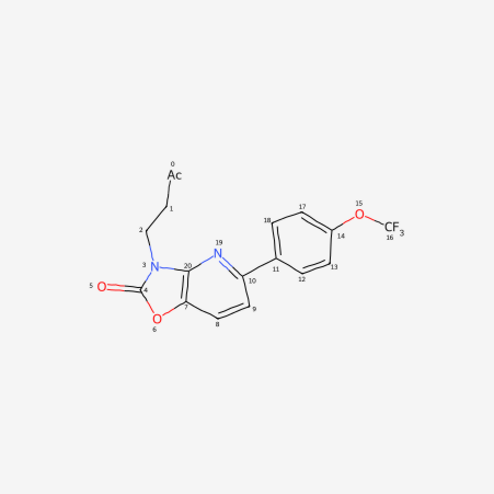 CC(=O)CCn1c(=O)oc2ccc(-c3ccc(OC(F)(F)F)cc3)nc21